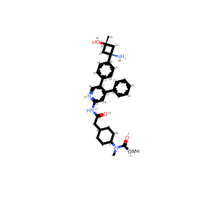 COC(=O)N(C)C1CCC(CC(=O)Nc2cc(-c3ccccc3)c(-c3ccc([C@]4(N)C[C@](C)(O)C4)cc3)cn2)CC1